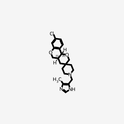 Cc1nc[nH]c1CN1CCC2(CC1)CO[C@H]1c3ccc(Cl)cc3OC[C@@H]1C2